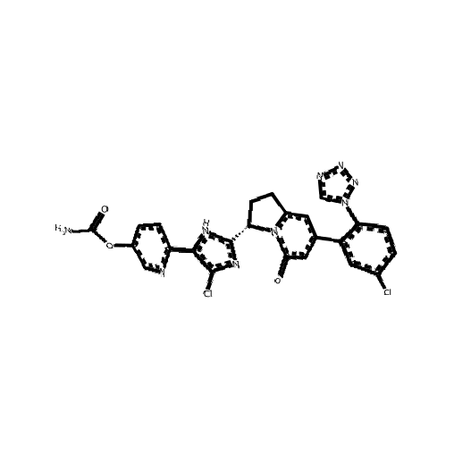 NC(=O)Oc1ccc(-c2[nH]c([C@@H]3CCc4cc(-c5cc(Cl)ccc5-n5cnnn5)cc(=O)n43)nc2Cl)nc1